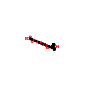 CC(C)(C)c1cc(CCC(=O)OCCOCCOCCOCCOC(=O)C=CC(=O)O)cc(C(C)(C)C)c1O